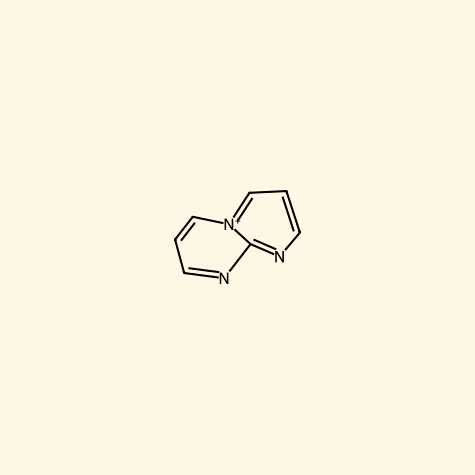 c1cnc2nccc[n+]2c1